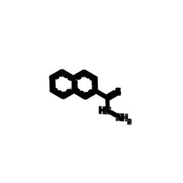 NNC(=S)c1ccc2ccccc2c1